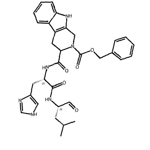 CC(C)C[C@@H](C=O)NC(=O)[C@H](Cc1c[nH]cn1)NC(=O)C1Cc2c([nH]c3ccccc23)CN1C(=O)OCc1ccccc1